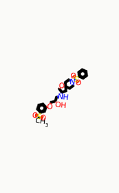 CS(=O)(=O)c1cccc(OCC(O)CNC2COC3(CCN(S(=O)(=O)c4ccccc4)CC3)C2)c1